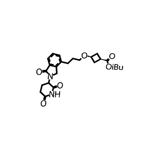 CC(C)COC(=O)[C@H]1C[C@@H](OCCCc2cccc3c2CN(C2CCC(=O)NC2=O)C3=O)C1